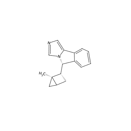 C[C@@]12CC1C[C@H]2[C@H]1c2ccccc2-c2cncn21